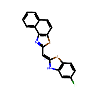 Clc1ccc2c(c1)N/C(=C/c1nc3c(ccc4ccccc43)s1)S2